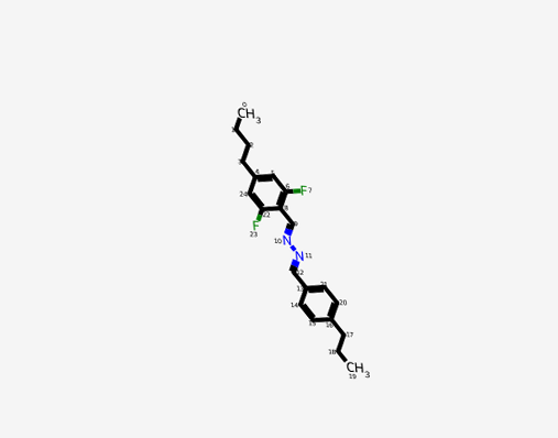 CCCCc1cc(F)c(C=NN=Cc2ccc(CCC)cc2)c(F)c1